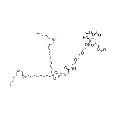 CCCCC/C=C\C/C=C\CCCCCCCCC1(CCCCCCCC/C=C\C/C=C\CCCCC)OC[C@H](CN(C)CC(=O)NCCOCCOCCO[C@@H]2OC(COC(C)=O)CC(OC(C)=O)[C@@H]2NC(C)=O)O1